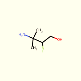 CC(C)(N)C(F)CO